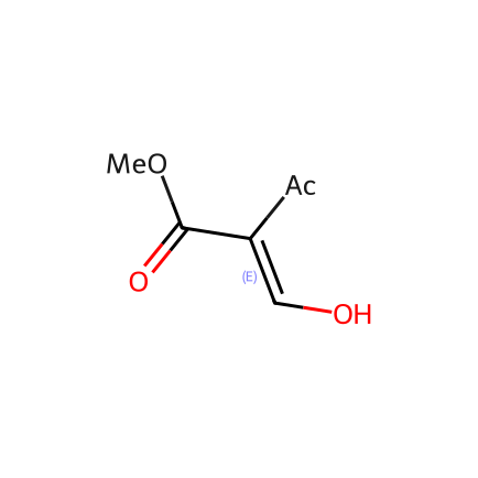 COC(=O)/C(=C/O)C(C)=O